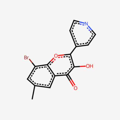 Cc1cc(Br)c2oc(-c3ccncc3)c(O)c(=O)c2c1